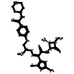 CCc1sc(N)nc1C(=NOC(COc1ccc(C(=N)NC2CCNCC2)cc1)C(=O)O)C(=O)N[C@@H]1C(=O)N(S(=O)(=O)O)[C@H]1C